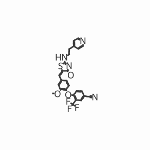 COc1cc(/C=C2/SC(NCCc3ccncc3)=NC2=O)ccc1Oc1ccc(C#N)cc1C(F)(F)F